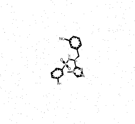 Cn1cnnc1[C@H](Cc1cccc(C#N)c1)NS(=O)(=O)c1cccc(Br)c1